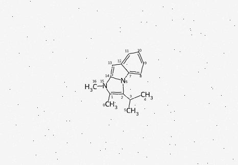 Cc1c(C(C)C)n2c3ccccc3cc2n1C